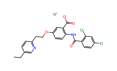 CCc1ccc(CCOc2ccc(NC(=O)c3ccc(Cl)cc3Cl)c(C(=O)[O-])c2)nc1.[Li+]